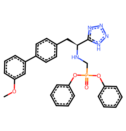 COc1cccc(-c2ccc(C[C@H](NCP(=O)(Oc3ccccc3)Oc3ccccc3)c3nnn[nH]3)cc2)c1